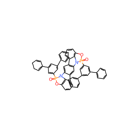 O=P1(c2cc(C3=CCCC=C3)cc(-c3ccccc3)c2)Oc2cccc3c4cc5c(cc4n1c23)c1cccc2c1n5P(=O)(c1cc(-c3ccccc3)cc(-c3ccccc3)c1)O2